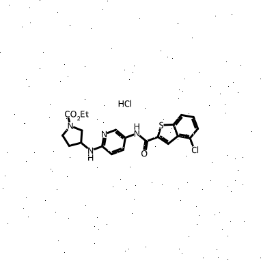 CCOC(=O)N1CCC(Nc2ccc(NC(=O)c3cc4c(Cl)cccc4s3)cn2)C1.Cl